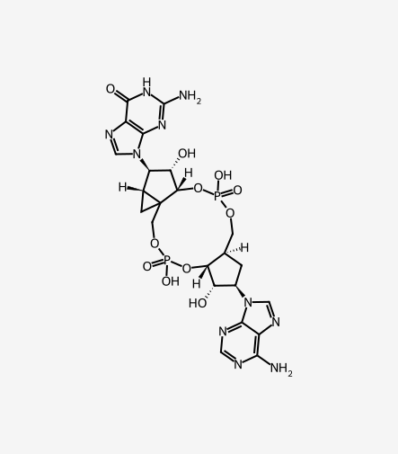 Nc1nc2c(ncn2[C@H]2[C@H](O)[C@@H]3OP(=O)(O)OC[C@H]4C[C@@H](n5cnc6c(N)ncnc65)[C@H](O)[C@@H]4OP(=O)(O)OCC34C[C@H]24)c(=O)[nH]1